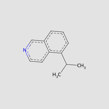 CC(C)c1cccc2cnccc12